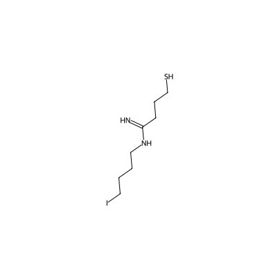 N=C(CCCS)NCCCCI